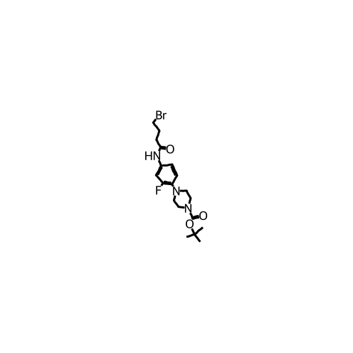 CC(C)(C)OC(=O)N1CCN(c2ccc(NC(=O)CCCBr)cc2F)CC1